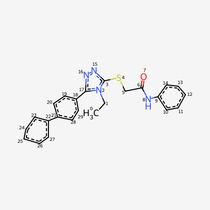 CCn1c(SCC(=O)Nc2ccccc2)nnc1-c1ccc(-c2ccccc2)cc1